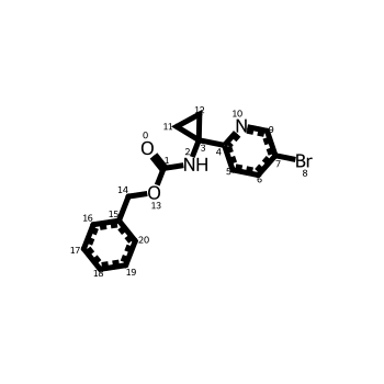 O=C(NC1(c2ccc(Br)cn2)CC1)OCc1ccccc1